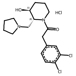 Cl.O=C(Cc1ccc(Cl)c(Cl)c1)N1CCC[C@H](O)[C@H]1CN1CCCC1